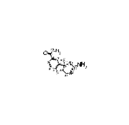 CC[C@@]1(c2cc(C(N)=O)ccc2F)CCN=C(N)S1